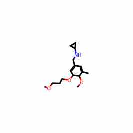 COCCCOC1C=C(CNC2CC2)C=C(C)C1OC